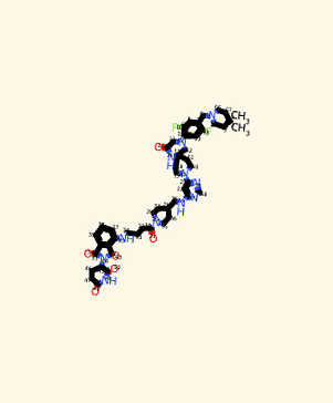 CC1(C)CCN(Cc2cc(F)c(N3CC(=O)NC4(CCN(c5cc(NCC6CCN(C(=O)CCCNc7cccc8c7C(=O)N(C7CCC(=O)NC7=O)C8=O)CC6)ncn5)CC4)C3)cc2F)CC1